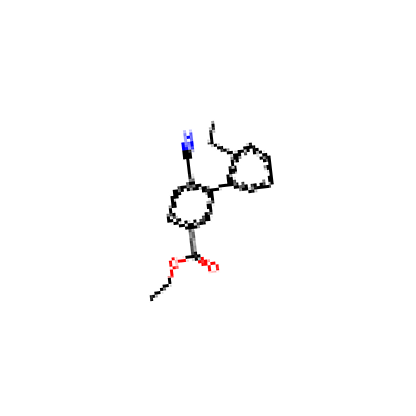 CCOC(=O)c1ccc(C#N)c(-c2ccccc2CC)c1